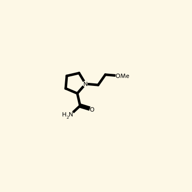 COCCN1CCCC1C(N)=O